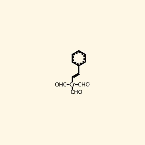 O=[CH][Cr]([CH]=O)([CH]=O)[CH]=Cc1ccccc1